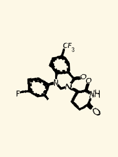 Cc1cc(F)ccc1N1CN(C2CCC(=O)NC2=O)C(=O)c2cc(C(F)(F)F)ccc21